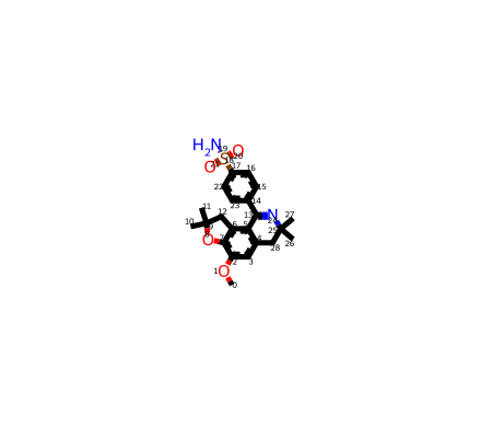 COc1cc2c(c3c1OC(C)(C)C3)C(c1ccc(S(N)(=O)=O)cc1)=NC(C)(C)C2